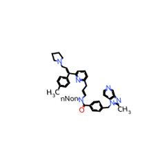 CCCCCCCCCN(C=CCc1cccc(C(=CCN2CCCC2)c2ccc(C)cc2)n1)C(=O)c1ccc(Cn2c(C)nc3cnccc32)cc1